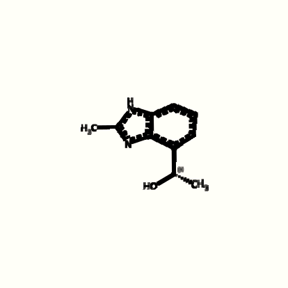 Cc1nc2c([C@H](C)O)cccc2[nH]1